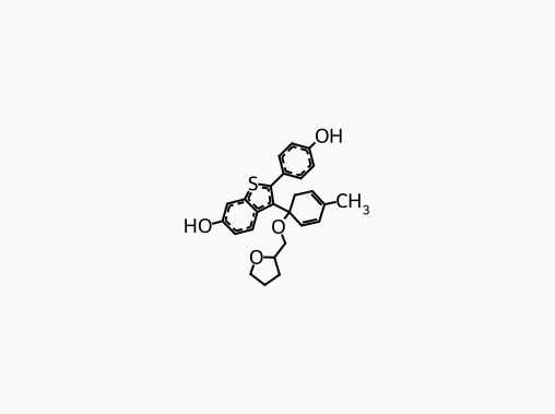 CC1=CCC(OCC2CCCO2)(c2c(-c3ccc(O)cc3)sc3cc(O)ccc23)C=C1